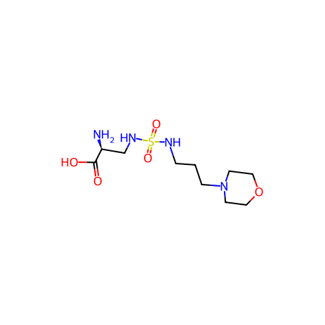 N[C@@H](CNS(=O)(=O)NCCCN1CCOCC1)C(=O)O